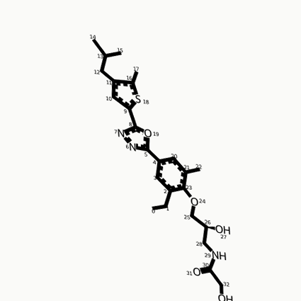 CCc1cc(-c2nnc(-c3cc(CC(C)C)c(C)s3)o2)cc(C)c1OC[C@@H](O)CNC(=O)CO